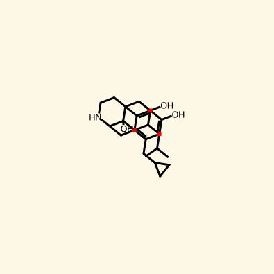 CC(C)CC1CC2(O)C3Cc4c(CC5CC5)cc(O)cc4C2(CCN3)CC1O